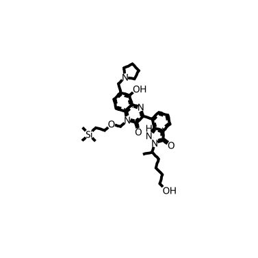 CC(CCCCO)n1[nH]c2c(-c3nc4c(O)c(CN5CCCC5)ccc4n(COCC[Si](C)(C)C)c3=O)cccc2c1=O